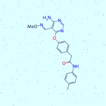 CON=Cc1c(N)ncnc1Oc1ccc(CC(=O)Nc2ccc(C)cc2)cc1